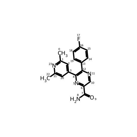 Cc1cc(-c2nc(C(N)=O)cnc2-c2ccc(F)cc2)cc(C)n1